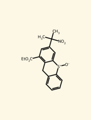 CCOC(=O)c1cc(C(C)(C)[N+](=O)[O-])cc2c1Cc1ccccc1[S+]2[O-]